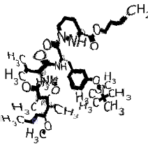 C=CCCOC(=O)[C@@H]1CCCN(C(=O)[C@H](Cc2cccc(O[Si](C)(C)C(C)(C)C)c2)NC(=O)[C@@H](NC(=O)[C@H](C)[C@H](OC)[C@@H](C)[C@H](/C=C/C)OC)C(C)C)N1